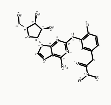 CCc1ccc(CC(=O)N(CC)CC)cc1Nc1nc(N)c2ncn([C@@H]3O[C@H](CO)[C@@H](O)[C@H]3O)c2n1